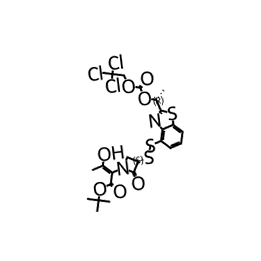 CC(O)=C(C(=O)OC(C)(C)C)N1C[C@H](SSc2cccc3sc([C@@H](C)OC(=O)OCC(Cl)(Cl)Cl)nc23)C1=O